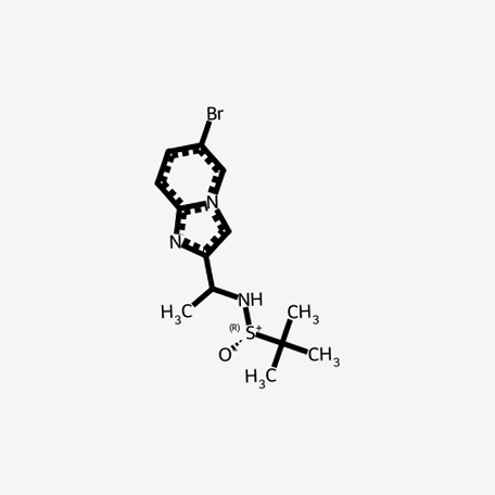 CC(N[S@@+]([O-])C(C)(C)C)c1cn2cc(Br)ccc2n1